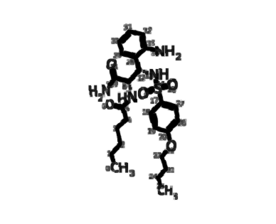 CCCCCC(=O)N[C@H](C(N)=O)[C@@H](NS(=O)(=O)c1ccc(OCCCC)cc1)c1ccccc1N